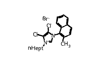 CCCCCCC[n+]1cn(-c2c(C)ccc3ccccc23)c(Cl)c1Cl.[Br-]